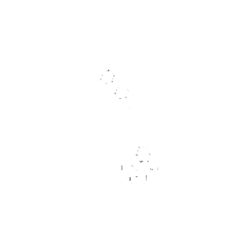 CC1(C)C(=O)Nc2ccc(OCCCCSc3ccc(-c4ccccc4F)cc3)cc21